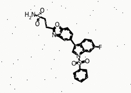 NS(=O)(=O)CCc1nc2cc(-c3cn(S(=O)(=O)c4ccccc4)c4cc(F)ccc34)ccc2o1